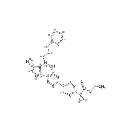 CCOC(=O)C1(c2ccc(-c3ccc(-c4onc(C)c4N(O)COCc4ccccc4)cc3)cc2)CC1